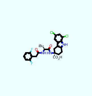 CCC(C)[C@H](NC(=O)Cc1c(F)cccc1F)C(=O)N[C@]1(C(=O)O)CCc2[nH]c3c(Cl)cc(Cl)cc3c2C1